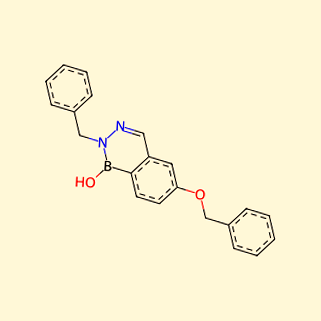 OB1c2ccc(OCc3ccccc3)cc2C=NN1Cc1ccccc1